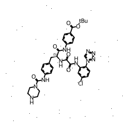 CC(C)(C)OC(=O)c1ccc(NC(=O)[C@H](Cc2ccc(NC(=O)N3CCNCC3)cc2)NC(=O)C(=O)Nc2cc(Cl)ccc2-n2cnnn2)cc1